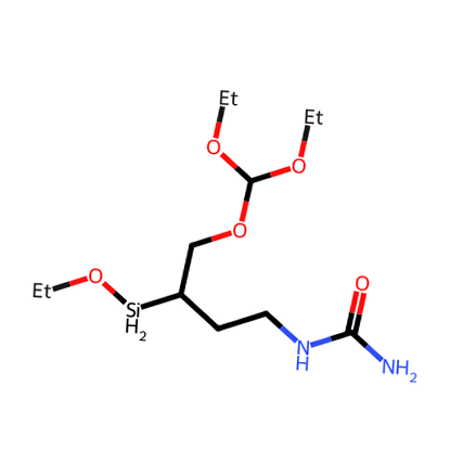 CCO[SiH2]C(CCNC(N)=O)COC(OCC)OCC